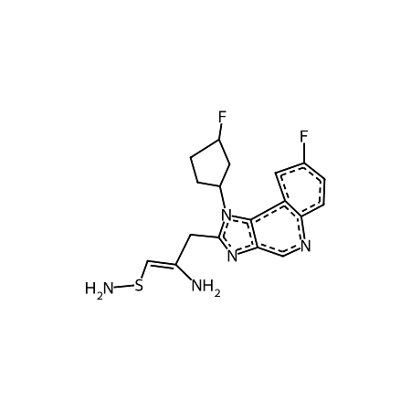 NS/C=C(\N)Cc1nc2cnc3ccc(F)cc3c2n1C1CCC(F)C1